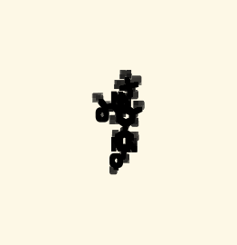 COCc1ncc(-c2cc(C)c3c(c2)c(C(C)=O)nn3CC(C)(C)C)cn1